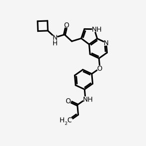 C=CC(=O)Nc1cccc(Oc2cnc3[nH]cc(CC(=O)NC4CCC4)c3c2)c1